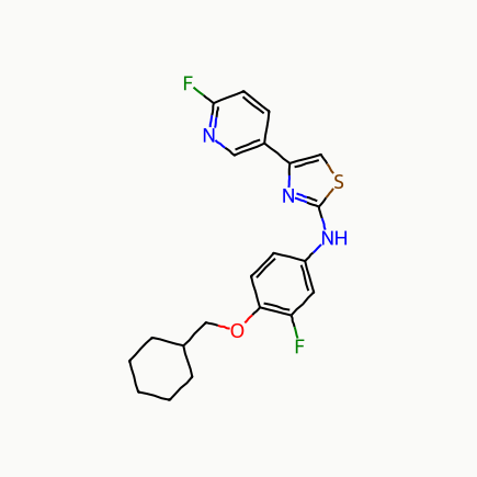 Fc1ccc(-c2csc(Nc3ccc(OCC4CCCCC4)c(F)c3)n2)cn1